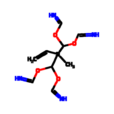 C=C[Si](C)(C(OC=N)OC=N)C(OC=N)OC=N